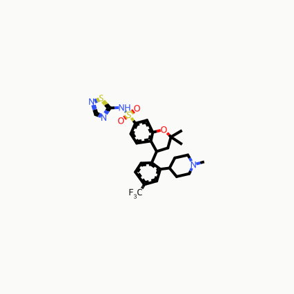 CN1CCC(c2cc(C(F)(F)F)ccc2C2CC(C)(C)Oc3cc(S(=O)(=O)Nc4ncns4)ccc32)CC1